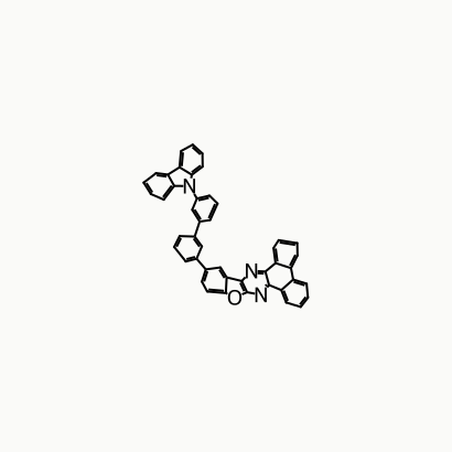 c1cc(-c2cccc(-n3c4ccccc4c4ccccc43)c2)cc(-c2ccc3oc4nc5c6ccccc6c6ccccc6c5nc4c3c2)c1